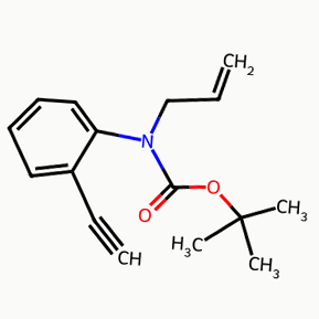 C#Cc1ccccc1N(CC=C)C(=O)OC(C)(C)C